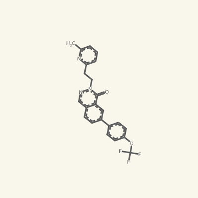 Cc1cccc(CCn2ncc3ccc(-c4ccc(OC(F)(F)F)cc4)cc3c2=O)n1